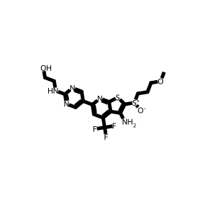 COCCC[S+]([O-])c1sc2nc(-c3cnc(NCCO)nc3)cc(C(F)(F)F)c2c1N